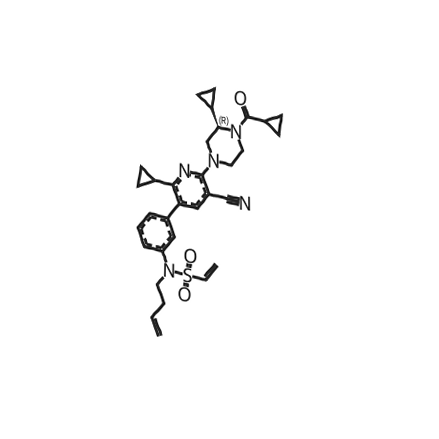 C=CCCN(c1cccc(-c2cc(C#N)c(N3CCN(C(=O)C4CC4)[C@H](C4CC4)C3)nc2C2CC2)c1)S(=O)(=O)C=C